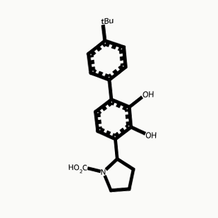 CC(C)(C)c1ccc(-c2ccc(C3CCCN3C(=O)O)c(O)c2O)cc1